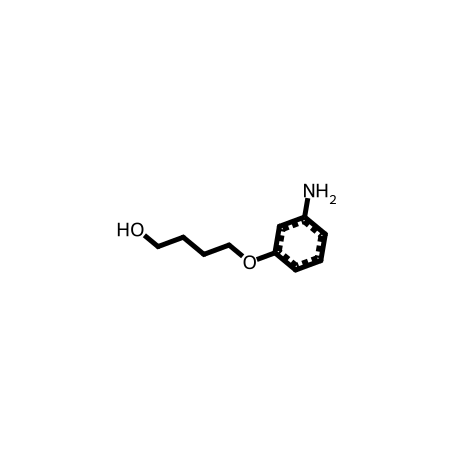 Nc1cccc(OCCCCO)c1